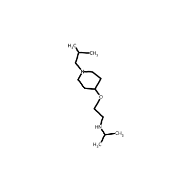 CC(C)CN1CCC(OCCNC(C)C)CC1